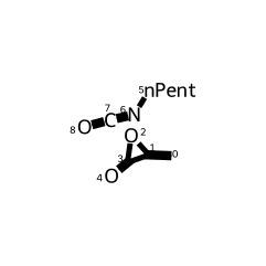 C=C1OC1=O.CCCCCN=C=O